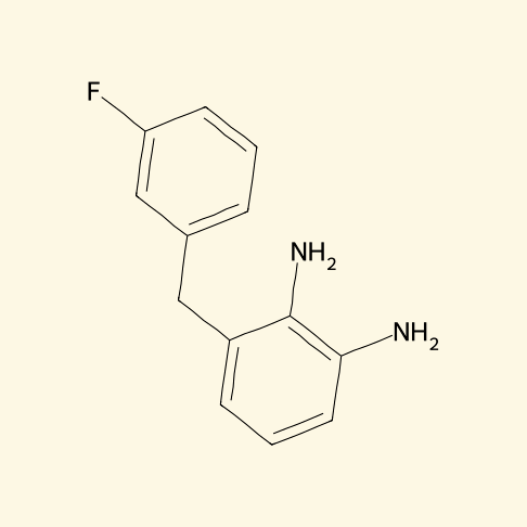 Nc1cccc(Cc2cccc(F)c2)c1N